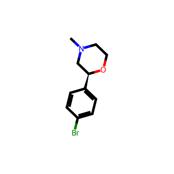 CN1CCO[C@@H](c2ccc(Br)cc2)C1